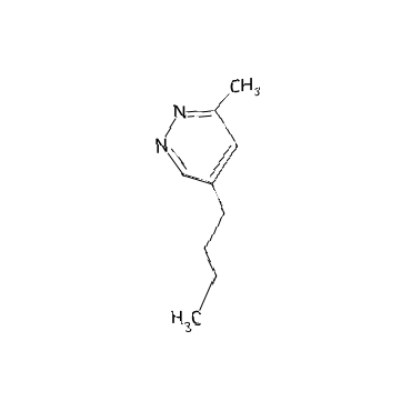 CCCCc1cnnc(C)c1